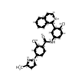 Cc1ccn(-c2ccc(C(=O)Nc3ccc(Cl)c(-c4nccc5ccccc45)c3)c(Cl)c2)n1